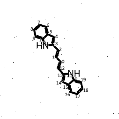 C(/C=C/c1cc2ccccc2[nH]1)=C\c1cc2ccccc2[nH]1